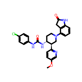 COc1ccc([C@@H]2CN(c3cccc4c3CC(=O)N4)CC[C@H]2NC(=O)Nc2ccc(Cl)cc2)nc1